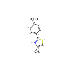 Cc1csc(-c2ccc(C=O)cc2)n1